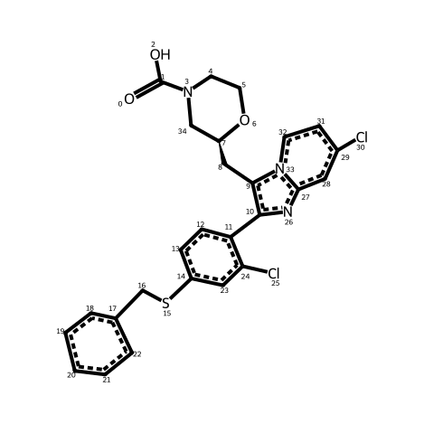 O=C(O)N1CCO[C@@H](Cc2c(-c3ccc(SCc4ccccc4)cc3Cl)nc3cc(Cl)ccn23)C1